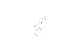 COC(=O)N[C@@H](Cc1ccccc1)C(=O)N[C@@H](Cc1ccc(NS(=O)(=O)O)cc1)c1csc(C2CC2)n1